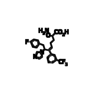 NOC(CCC=C(c1cccc(C(F)(F)F)c1)C(Cc1ccc(F)cc1)n1ccnc1)C(=O)O